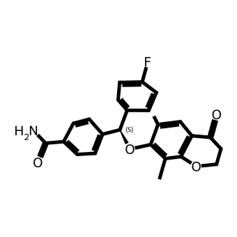 Cc1cc2c(c(C)c1O[C@H](c1ccc(F)cc1)c1ccc(C(N)=O)cc1)OCCC2=O